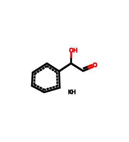 O=CC(O)c1ccccc1.[KH]